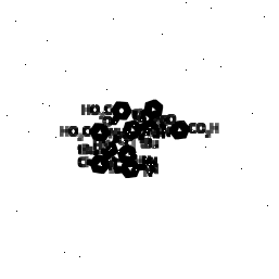 COc1cc(C(=O)O)ccc1NC(=O)[C@@H]1N[C@@H](CC(C)(C)C)[C@@]2(CN(C[C@H]3CC[C@H](C(=O)O)C(COc4cc(C(=O)O)ccc4NC(=O)[C@@H]4N[C@@H](CC(C)(C)C)[C@@]5(CN(Cc6ccc(-c7nnn[nH]7)cc6)c6ccc(Cl)cc65)[C@H]4c4ccccc4C(F)(F)F)C3)c3ccc(Cl)cc32)[C@H]1c1ccccc1Cl